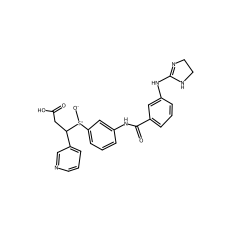 O=C(O)CC(c1cccnc1)[S+]([O-])c1cccc(NC(=O)c2cccc(NC3=NCCN3)c2)c1